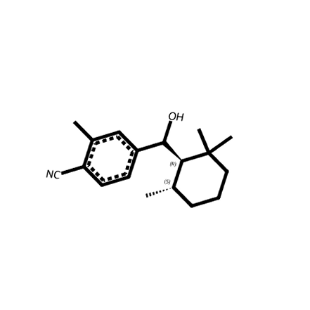 Cc1cc(C(O)[C@@H]2[C@@H](C)CCCC2(C)C)ccc1C#N